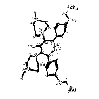 CC[C@H](C)COc1ccc([C@@H](N)C(C(=O)C([C@H](N)c2ccc(OC[C@@H](C)CC)cc2)N2CCN(C)CC2)N2CCN(C)CC2)cc1